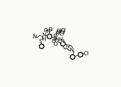 CN(C)CC[C@H](CSc1ccccc1)Nc1ccc(S(=O)(=O)NC(=O)c2cc3c(cn2)N2CCN(Cc4ccccc4-c4ccc(Cl)cc4)CC2C3)cc1[N+](=O)[O-].Cl.Cl.Cl